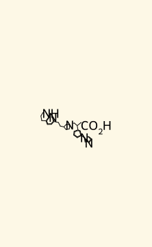 O=C(O)CC(CN1CCC(CCc2ccc3c(n2)NCCC3)C1)c1cccc(-n2ccnc2)c1